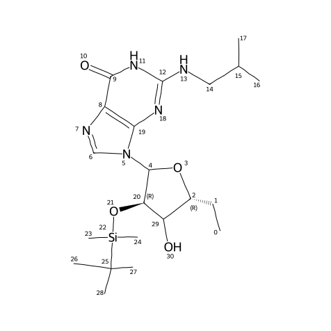 CC[C@H]1OC(n2cnc3c(=O)[nH]c(NCC(C)C)nc32)[C@H](O[Si](C)(C)C(C)(C)C)C1O